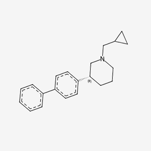 c1ccc(-c2ccc([C@H]3CCCN(CC4CC4)C3)cc2)cc1